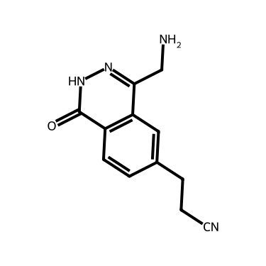 N#CCCc1ccc2c(=O)[nH]nc(CN)c2c1